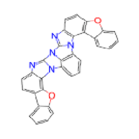 c1ccc2c(c1)oc1c2ccc2nc3n(c4cccc5c4n3c3nc4ccc6oc7ccccc7c6c4n53)c21